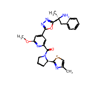 COc1cc(-c2nnc([C@@](C)(N)Cc3ccccc3)o2)cc(C(=O)N2CCC[C@@H]2c2nc(C)cs2)n1